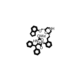 COC(=O)N[C@H](C(=O)Nc1ccccc1CC[C@@H]1CNC[C@@H](COc2cccc3c2CCC3)O1)C(c1ccccc1)c1ccccc1